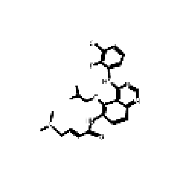 CN(C)C/C=C/C(=O)Nc1ccc2ncnc(Nc3cccc(Cl)c3F)c2c1OCC(F)F